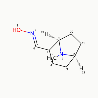 CN1[C@@H]2CCC(C=NO)[C@H]1CC2